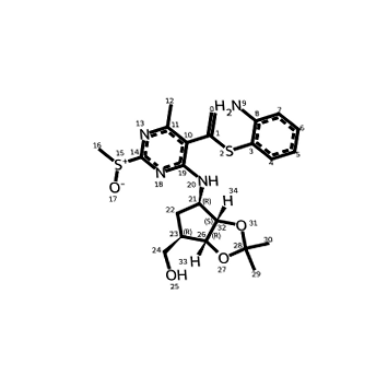 C=C(Sc1ccccc1N)c1c(C)nc([S+](C)[O-])nc1N[C@@H]1C[C@H](CO)[C@H]2OC(C)(C)O[C@H]21